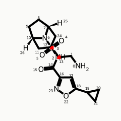 NCCS(=O)(=O)N1[C@@H]2CC[C@H]1C[C@H](NC(=O)c1cc(C3CC3)on1)C2